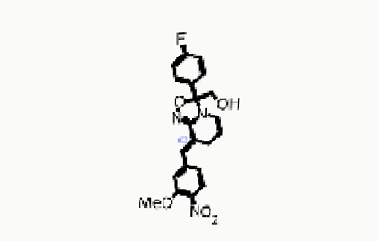 COc1cc(/C=C2\CCCN3C2=NOC3(CO)c2ccc(F)cc2)ccc1[N+](=O)[O-]